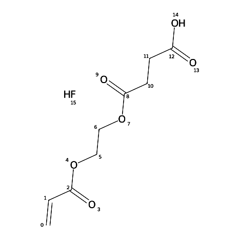 C=CC(=O)OCCOC(=O)CCC(=O)O.F